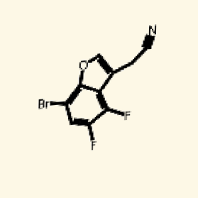 N#CCc1coc2c(Br)cc(F)c(F)c12